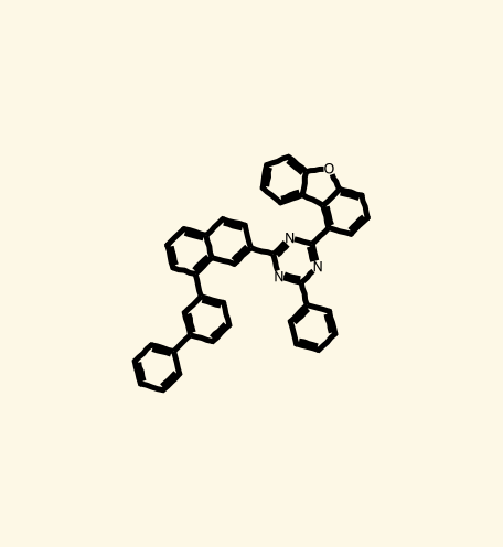 c1ccc(-c2cccc(-c3cccc4ccc(-c5nc(-c6ccccc6)nc(-c6cccc7oc8ccccc8c67)n5)cc34)c2)cc1